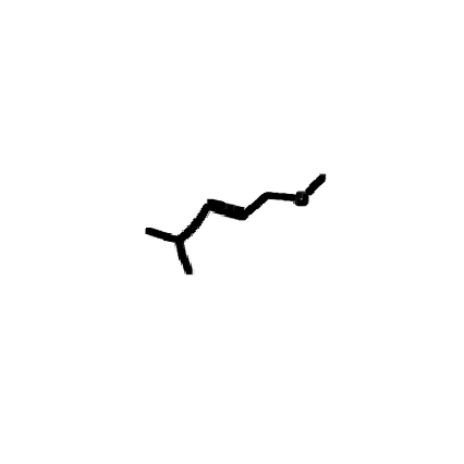 COCC=CC(C)C